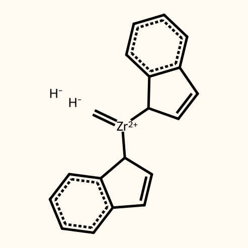 [CH2]=[Zr+2]([CH]1C=Cc2ccccc21)[CH]1C=Cc2ccccc21.[H-].[H-]